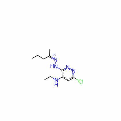 CCC/C(C)=N\Nc1nnc(Cl)cc1NCC